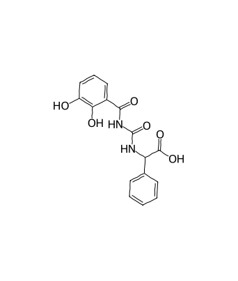 O=C(NC(=O)c1cccc(O)c1O)NC(C(=O)O)c1ccccc1